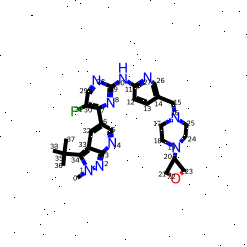 Cn1nc2ncc(-c3nc(Nc4ccc(CN5CCN(C6COC6)CC5)cn4)ncc3F)cc2c1C(C)(C)C